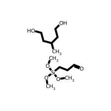 CC(CCO)CCO.CO[Si](CCC=O)(OC)OC